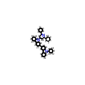 C1=CCCC(C2=NC(c3ccccc3)CC(n3c4ccccc4c4ccc(-c5ccc6c(c5)c5ccccc5n6-c5ccccc5)cc43)=C2)=C1